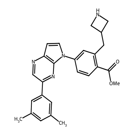 COC(=O)c1ccc(-n2ccc3ncc(-c4cc(C)cc(C)c4)nc32)cc1CC1CNC1